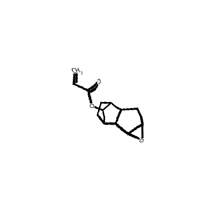 C=CC(=O)OC1C2CCC1C1C2CC2OC21